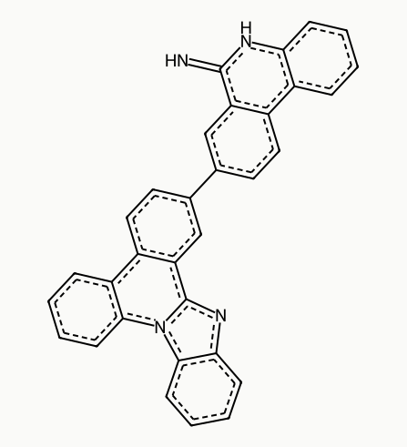 N=c1[nH]c2ccccc2c2ccc(-c3ccc4c5ccccc5n5c6ccccc6nc5c4c3)cc12